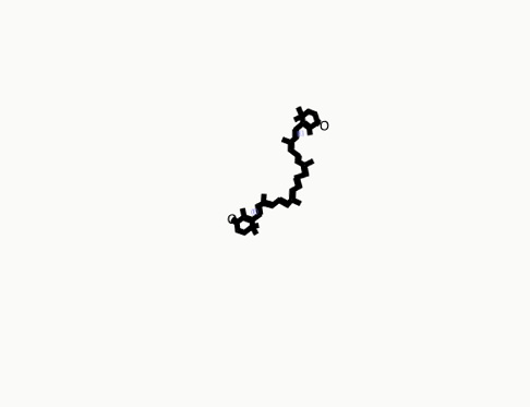 CC(C=CC=C(C)/C=C/C1=C(C)C(=O)CCC1(C)C)=CC=CC=C(C)C=CC=C(C)/C=C/C1=C(C)C(=O)CCC1(C)C